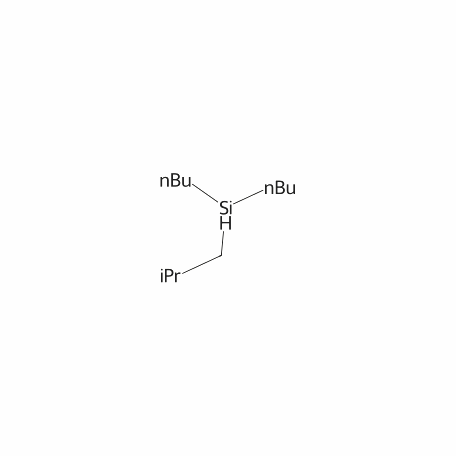 CCCC[SiH](CCCC)CC(C)C